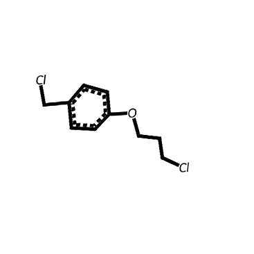 ClCCCOc1ccc(CCl)cc1